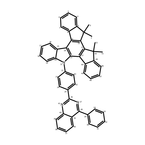 CC1(C)c2ccccc2-c2c1c1c(c3c2c2ccccc2n3-c2ccc(-c3nc(-c4ccccc4)c4ccccc4n3)cc2)-c2ccccc2C1(C)C